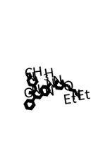 CCN(CC)CCOc1ccc(Nc2cc3c(cn2)cc(-c2ccccc2)c(=O)n3C2CCN(C)CC2)nc1